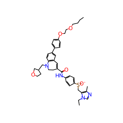 CCCCOCCOc1ccc(-c2ccc3c(c2)C=C(C(=O)Nc2ccc([S@+]([O-])Cc4c(C)ncn4CC)cc2)CCN3CC2CCOC2)cc1